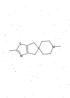 Cc1nc2c(s1)CC1(CCN(C)CC1)C2